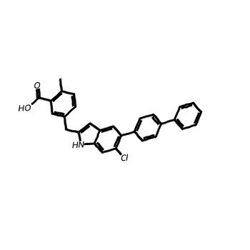 Cc1ccc(Cc2cc3cc(-c4ccc(-c5ccccc5)cc4)c(Cl)cc3[nH]2)cc1C(=O)O